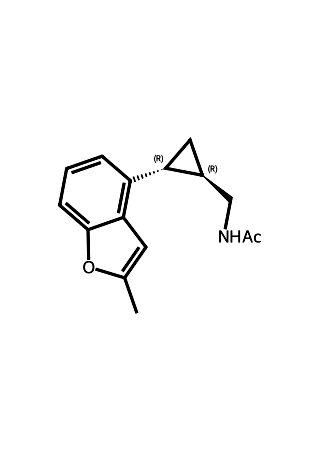 CC(=O)NC[C@@H]1C[C@H]1c1cccc2oc(C)cc12